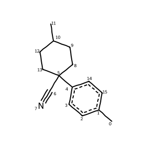 Cc1ccc(C2(C#N)CCC(C)CC2)cc1